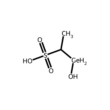 C[CH]([GeH2][OH])S(=O)(=O)O